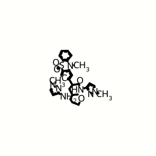 CN1c2ccccc2S(=O)(=O)c2ccc(C(CC3CCCOC3)C(=O)Nc3ccn(C)n3)cc21.Cn1ccc(N)n1